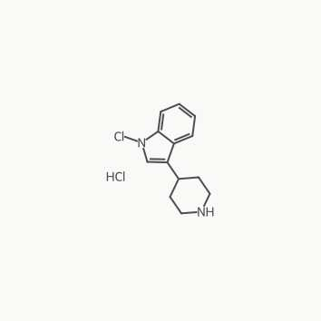 Cl.Cln1cc(C2CCNCC2)c2ccccc21